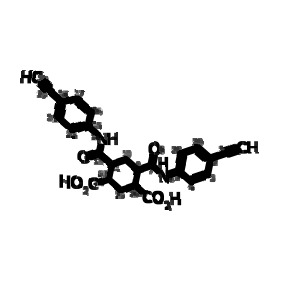 C#Cc1ccc(NC(=O)C2CC(C(=O)Nc3ccc(C#C)cc3)C(C(=O)O)CC2C(=O)O)cc1